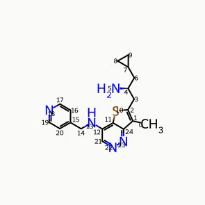 Cc1c(C[C@@H](N)CC2CC2)sc2c(NCc3ccncc3)cnnc12